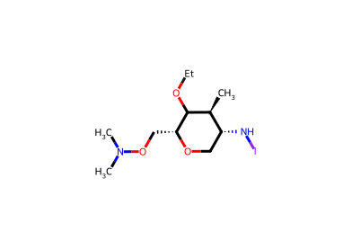 CCOC1[C@@H](C)[C@H](NI)CO[C@@H]1CON(C)C